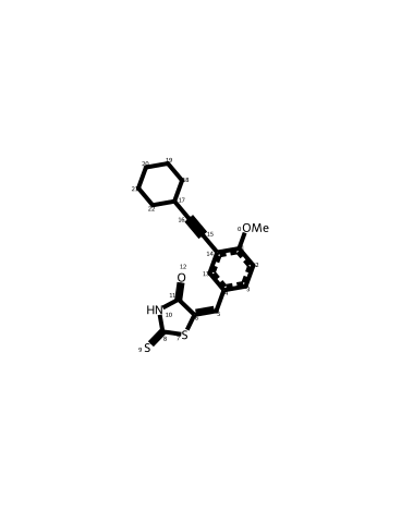 COc1ccc(C=C2SC(=S)NC2=O)cc1C#CC1CCCCC1